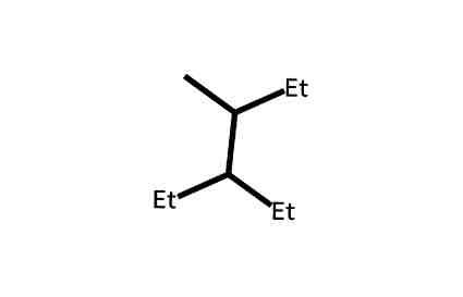 CCC(C)C(CC)CC